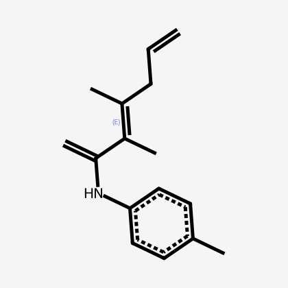 C=CC/C(C)=C(\C)C(=C)Nc1ccc(C)cc1